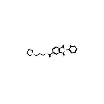 Cc1ccccc1N1C(=O)c2ccc(C(=O)NCCCN3CCCC3)cc2C1=O.Cl